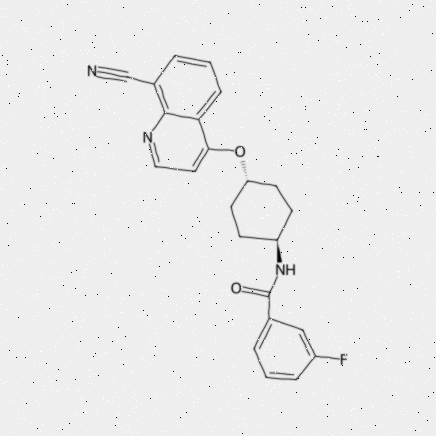 N#Cc1cccc2c(O[C@H]3CC[C@H](NC(=O)c4cccc(F)c4)CC3)ccnc12